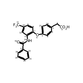 O=C(O)Cc1ccc(Oc2ccc(C(F)(F)F)cc2NC(=O)c2ccccc2)cc1